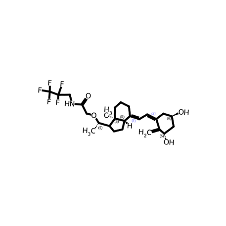 C=C1/C(=C\C=C2/CCC[C@]3(C)C([C@H](C)OCC(=O)NCC(F)(F)C(F)(F)F)CC[C@@H]23)C[C@@H](O)C[C@@H]1O